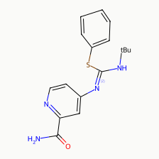 CC(C)(C)N/C(=N/c1ccnc(C(N)=O)c1)Sc1ccccc1